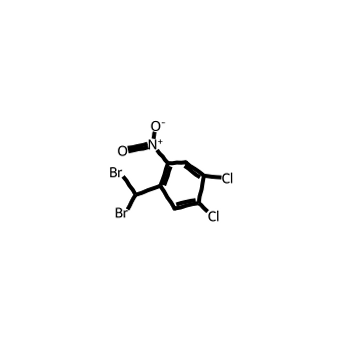 O=[N+]([O-])c1cc(Cl)c(Cl)cc1C(Br)Br